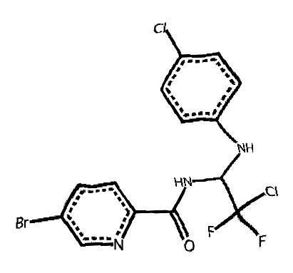 O=C(NC(Nc1ccc(Cl)cc1)C(F)(F)Cl)c1ccc(Br)cn1